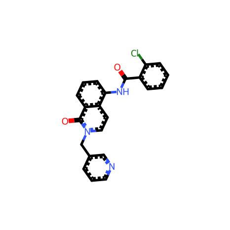 O=C(Nc1cccc2c(=O)n(Cc3cccnc3)ccc12)c1ccccc1Cl